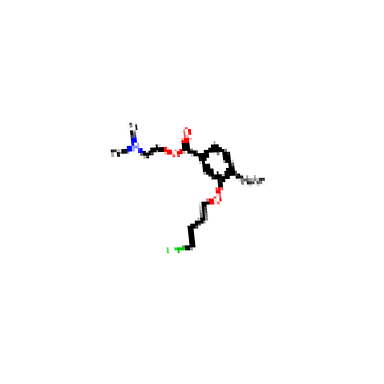 CCN(CC)CCOC(=O)c1ccc(NC)c(OCCCCCl)c1